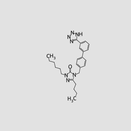 CCCCCCn1nc(CCCC)n(Cc2ccc(-c3cccc(-c4nnn[nH]4)c3)cc2)c1=O